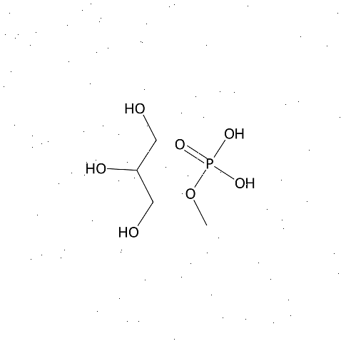 COP(=O)(O)O.OCC(O)CO